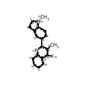 Cc1c(-c2ccc3c(ccn3C)c2)nc2ccccc2c1F